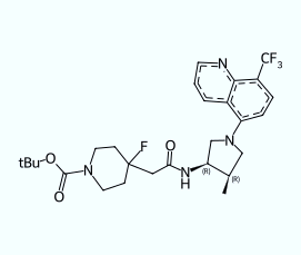 C[C@@H]1CN(c2ccc(C(F)(F)F)c3ncccc23)C[C@@H]1NC(=O)CC1(F)CCN(C(=O)OC(C)(C)C)CC1